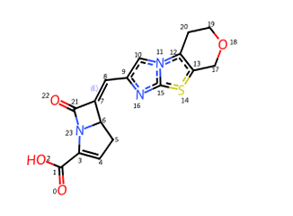 O=C(O)C1=CCC2/C(=C\c3cn4c5c(sc4n3)COCC5)C(=O)N12